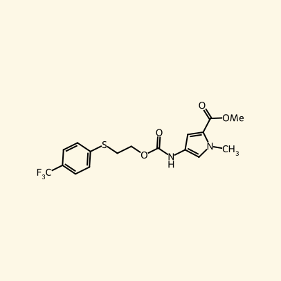 COC(=O)c1cc(NC(=O)OCCSc2ccc(C(F)(F)F)cc2)cn1C